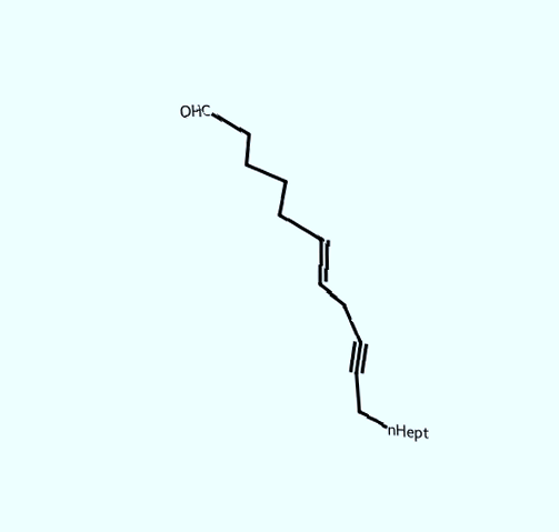 CCCCCCCCC#CCC=CCCCCC=O